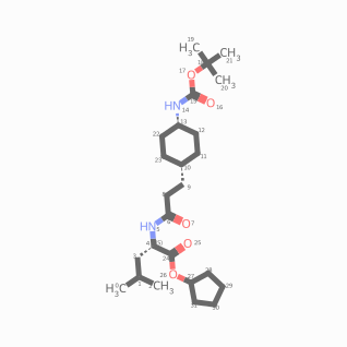 CC(C)C[C@H](NC(=O)CC[C@H]1CC[C@@H](NC(=O)OC(C)(C)C)CC1)C(=O)OC1CCCC1